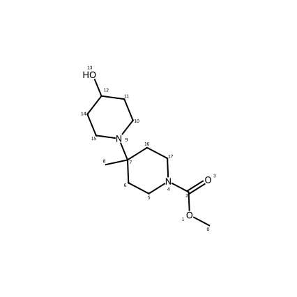 COC(=O)N1CCC(C)(N2CCC(O)CC2)CC1